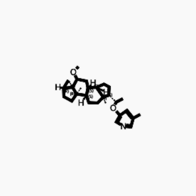 COC1C[C@H]2[C@@H]3CC[C@H](C(C)Oc4cncc(C)c4)[C@@]3(C)CC[C@@H]2[C@@]2(C)CC[C@@H]3C[C@@]132